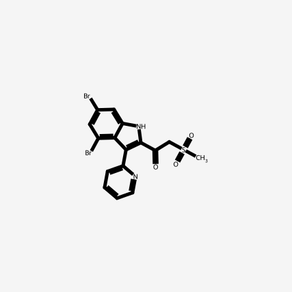 CS(=O)(=O)CC(=O)c1[nH]c2cc(Br)cc(Br)c2c1-c1ccccn1